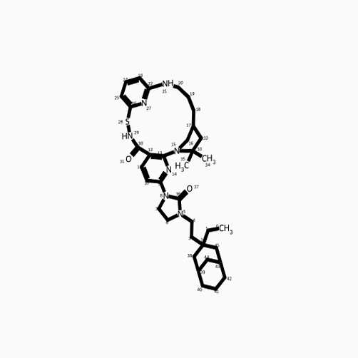 CCC1(CCN2CCN(c3ccc4c(n3)N3CC(CCCNc5cccc(n5)SNC4=O)CC3(C)C)C2=O)CC2CCCC(C2)C1